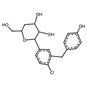 OCC1CC(O)C(O)C(c2ccc(Cl)c(Cc3ccc(O)cc3)c2)O1